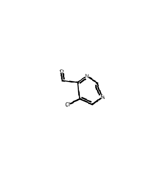 O=Cc1ncncc1Cl